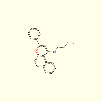 CCCCNc1cc(-c2ccccc2)[o+]c2ccc3ccccc3c12